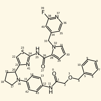 O=C(COCc1ccccc1)Nc1ccc(N2CCCC2c2csc(NC(=O)c3cccn3Cc3ccnc(F)c3)n2)cc1